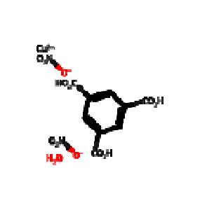 O.O=C(O)c1cc(C(=O)O)cc(C(=O)O)c1.O=[N+]([O-])[O-].O=[N+]([O-])[O-].[Cu+2]